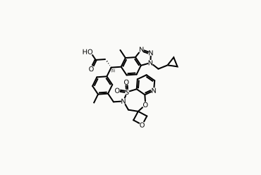 Cc1ccc([C@H](CC(=O)O)c2ccc3c(nnn3CC3CC3)c2C)cc1CN1CC2(COC2)Oc2ncccc2S1(=O)=O